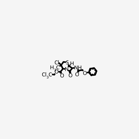 CC1(Cl)CS[C@H]2C(NC(=O)COc3ccccc3)C(=O)N2C1C(=O)OCC(Cl)(Cl)Cl